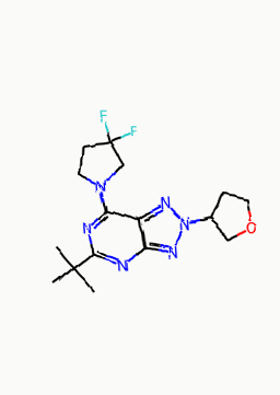 CC(C)(C)c1nc(N2CCC(F)(F)C2)c2nn(C3CCOC3)nc2n1